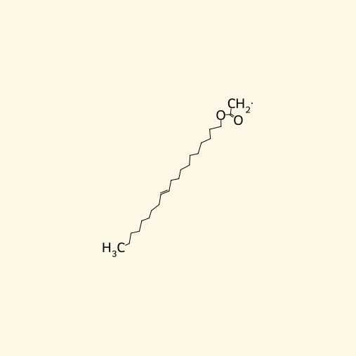 [CH2]C(=O)OCCCCCCCCCCC=CCCCCCCCC